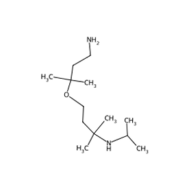 CC(C)NC(C)(C)CCOC(C)(C)CCN